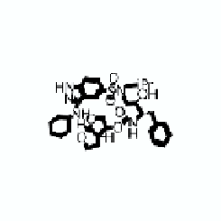 CC(C)CN(C[C@@H](O)[C@H](Cc1ccccc1)NC(=O)OC1CO[C@H]2OCC[C@@H]12)S(=O)(=O)c1ccc2[nH]nc(NC3CCCCC3)c2c1